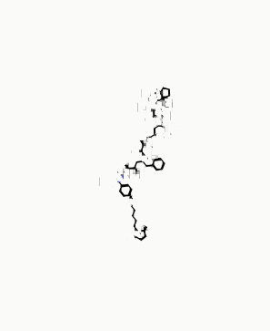 CCC(C)C(NC(=O)[C@@]1(C)CCCN1C)C(=O)N(C)C(CC(OC(C)=O)c1nc(C(=O)NC(Cc2ccccc2)CC(C)C(=O)N/N=C(/C)c2ccc(OCCCCCN3C(=O)C=CC3=O)cc2)cs1)C(C)C